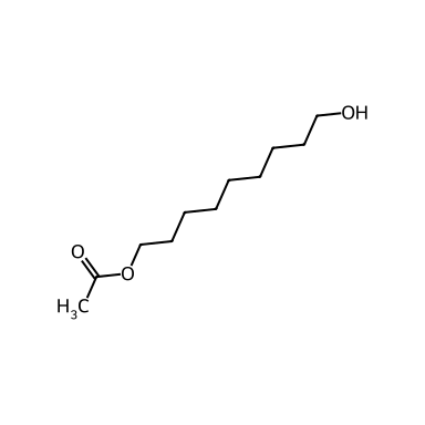 CC(=O)OCCCCCCCCCO